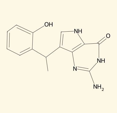 CC(c1ccccc1O)c1c[nH]c2c(=O)[nH]c(N)nc12